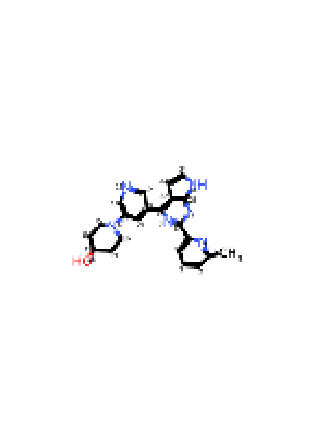 Cc1cccc(-c2nc(-c3cncc(N4CCC(O)CC4)c3)c3cc[nH]c3n2)n1